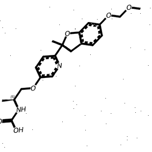 COCOc1ccc2c(c1)OC(C)(c1ccc(OC[C@H](C)NC(=O)O)cn1)C2